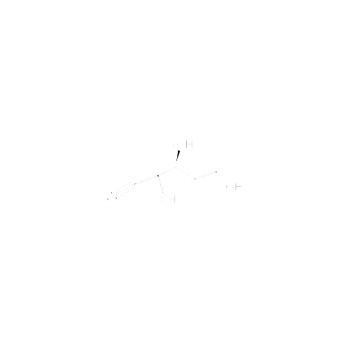 CC(C)(C#N)[C@@H](O)CCO